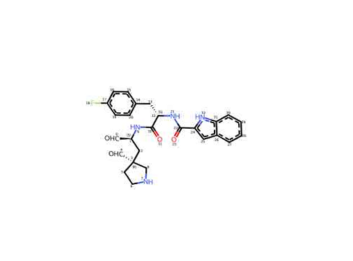 O=C[C@H](C[C@]1(C=O)CCNC1)NC(=O)[C@H](Cc1ccc(F)cc1)NC(=O)c1cc2ccccc2[nH]1